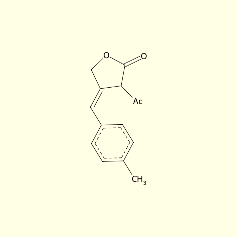 CC(=O)C1C(=O)OCC1=Cc1ccc(C)cc1